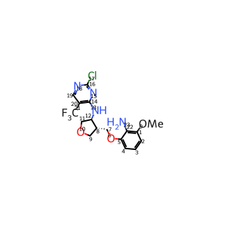 COc1cccc(OC[C@@H]2COC[C@H]2Nc2nc(Cl)ncc2C(F)(F)F)c1N